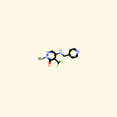 CC(C)(C)n1ncc(NCc2ccncc2)c(C(F)F)c1=O